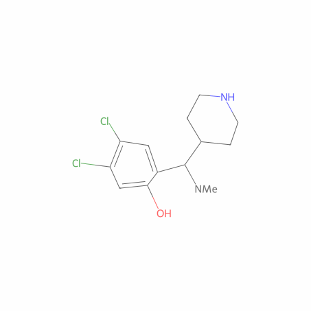 CNC(c1cc(Cl)c(Cl)cc1O)C1CCNCC1